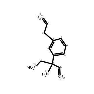 C=CCc1cccc(C(N)(C=C)CC(=O)O)c1